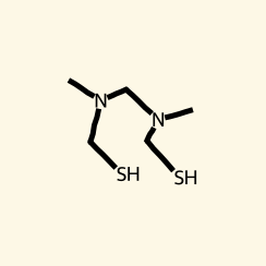 CN(CS)CN(C)CS